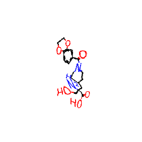 NC(CO)(CC1CCN(C(=O)c2ccc3c(c2)OCCO3)CC1)C(=O)O